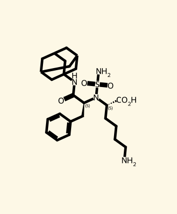 NCCCC[C@@H](C(=O)O)N([C@@H](Cc1ccccc1)C(=O)NC12CC3CC(CC(C3)C1)C2)S(N)(=O)=O